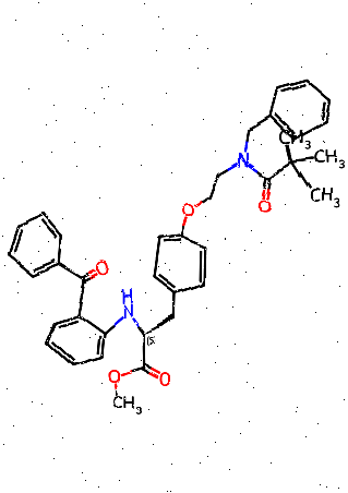 COC(=O)[C@H](Cc1ccc(OCCN(Cc2ccccc2)C(=O)C(C)(C)C)cc1)Nc1ccccc1C(=O)c1ccccc1